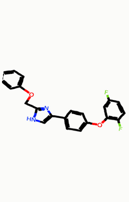 Fc1ccc(F)c(Oc2ccc(-c3c[nH]c(COc4ccccc4)n3)cc2)c1